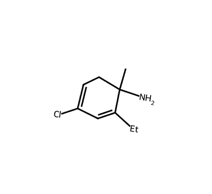 CCC1=CC(Cl)=CCC1(C)N